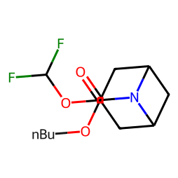 CCCCOC(=O)N1C2CC(OC(F)F)CC1C2